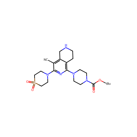 CC(C)(C)OC(=O)N1CCN(c2nc(N3CCS(=O)(=O)CC3)c(C#N)c3c2CCNC3)CC1